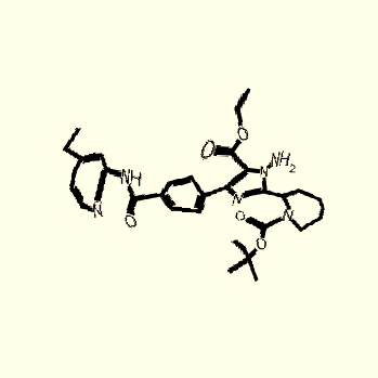 CCOC(=O)c1c(-c2ccc(C(=O)Nc3cc(CC)ccn3)cc2)nc(C2CCCCN2C(=O)OC(C)(C)C)n1N